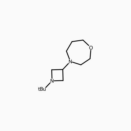 CC(C)(C)N1CC(N2CCCOCC2)C1